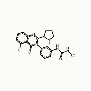 CCNC(=O)Nc1cccc(-n2c(C3CCCN3)nc3cccc(Cl)c3c2=O)c1